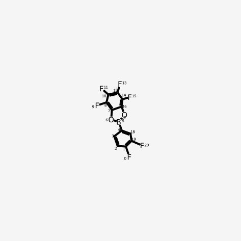 Fc1ccc(B2Oc3c(F)c(F)c(F)c(F)c3O2)cc1F